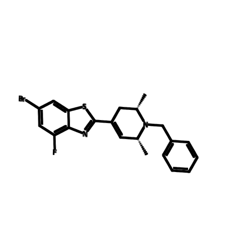 C[C@@H]1C=C(c2nc3c(F)cc(Br)cc3s2)C[C@H](C)N1Cc1ccccc1